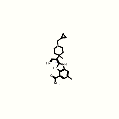 CC1(/C(C=N)=C2\Nc3cc(F)cc(C(N)=O)c3N2)CCN(CC2CC2)CC1